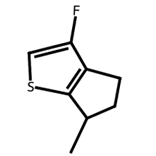 CC1CCc2c(F)csc21